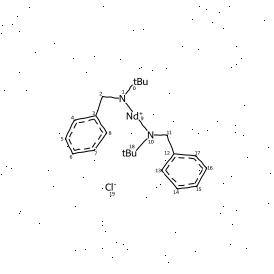 CC(C)(C)[N](Cc1ccccc1)[Nd+][N](Cc1ccccc1)C(C)(C)C.[Cl-]